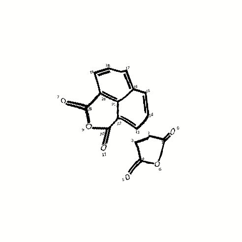 O=C1CCC(=O)O1.O=C1OC(=O)c2cccc3cccc1c23